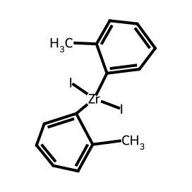 Cc1cccc[c]1[Zr]([I])([I])[c]1ccccc1C